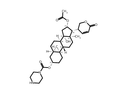 CC(=O)O[C@H]1C[C@]2(O)[C@@H]3CC[C@@H]4C[C@@H](OC(=O)N5CCNCC5)CC[C@]4(C)[C@H]3CC[C@]2(C)[C@H]1C1C=CC(=O)OC1